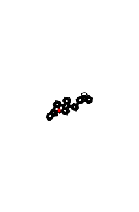 CC1(C)c2cc3ccccc3cc2-c2cccc(-c3c4ccccc4c(-c4cccc(-c5ccc6oc7ccccc7c6c5)c4)c4ccccc34)c21